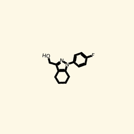 OCc1nn(-c2ccc(F)cc2)c2c1CCCC2